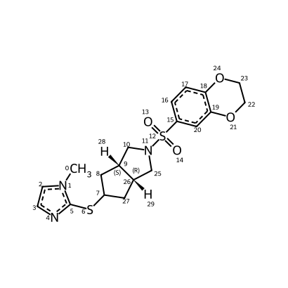 Cn1ccnc1SC1C[C@@H]2CN(S(=O)(=O)c3ccc4c(c3)OCCO4)C[C@@H]2C1